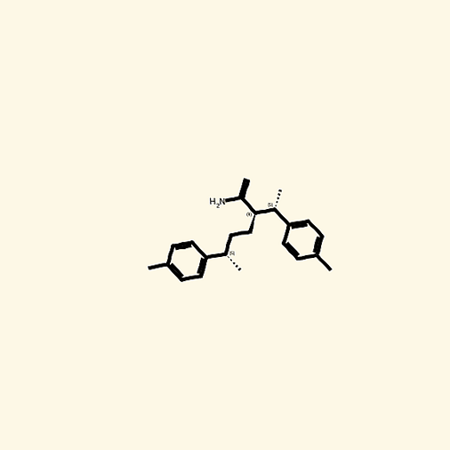 C=C(N)[C@H](CC[C@H](C)c1ccc(C)cc1)[C@H](C)c1ccc(C)cc1